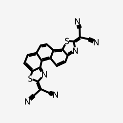 N#CC(C#N)=c1nc2c(ccc3ccc4c(ccc5nc(=C(C#N)C#N)sc54)c32)s1